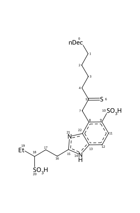 CCCCCCCCCCCCCCC(=S)Cc1c(S(=O)(=O)O)ccc2[nH]c(CCC(CC)S(=O)(=O)O)nc12